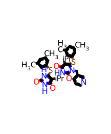 Cc1cc(C)cc(Sc2[nH]c(=O)[nH]c(=O)c2C(C)C)c1.Cc1cc(C)cc(Sc2c(C(C)C)c(=O)[nH]c(=O)n2Cc2cccnc2)c1